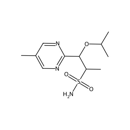 Cc1cnc(C(OC(C)C)C(C)S(N)(=O)=O)nc1